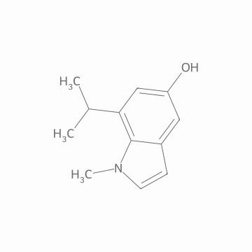 CC(C)c1cc(O)cc2ccn(C)c12